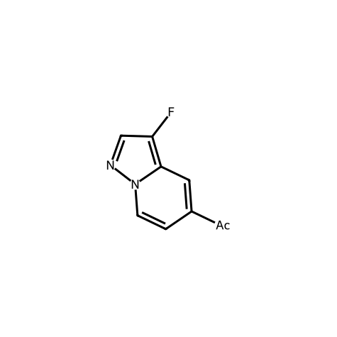 CC(=O)c1ccn2ncc(F)c2c1